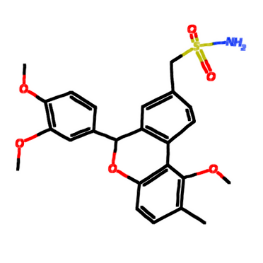 COc1ccc(C2Oc3ccc(C)c(OC)c3-c3ccc(CS(N)(=O)=O)cc32)cc1OC